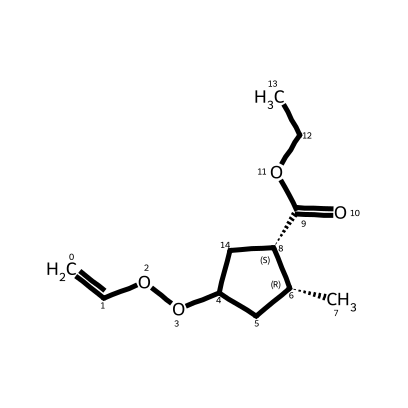 C=COOC1C[C@@H](C)[C@@H](C(=O)OCC)C1